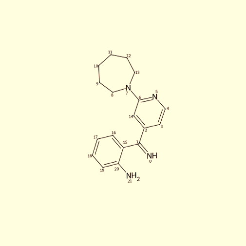 N=C(c1ccnc(N2CCCCCC2)c1)c1ccccc1N